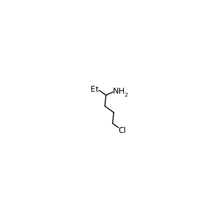 CCC(N)CCCCl